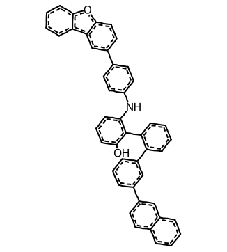 Oc1cccc(Nc2ccc(-c3ccc4oc5ccccc5c4c3)cc2)c1-c1ccccc1-c1cccc(-c2ccc3ccccc3c2)c1